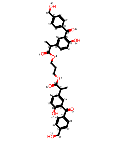 CC(C(=O)OCCCOC(=O)C(C)c1ccc(O)c(C(=O)c2ccc(CO)cc2)c1)c1ccc(O)c(C(=O)c2ccc(CO)cc2)c1